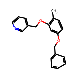 Cc1ccc(OCc2ccccc2)cc1OCc1cccnc1